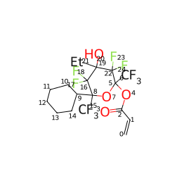 C=CC(=O)OC1(C(F)(F)F)OC(C2CCCCC2)(C(F)(F)F)C(F)(F)C(O)(CC)C1(F)F